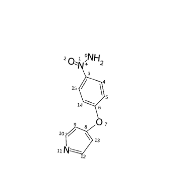 N[N+](=O)c1ccc(Oc2c[c]ncc2)cc1